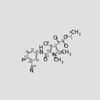 CCOC(=O)C(=O)c1c(Cl)c(C(=O)Nc2ccc(F)c(C#N)c2)n(C)c1C